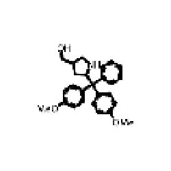 COc1ccc(C(c2ccccc2)(c2ccc(OC)cc2)C2CC(CO)CN2)cc1